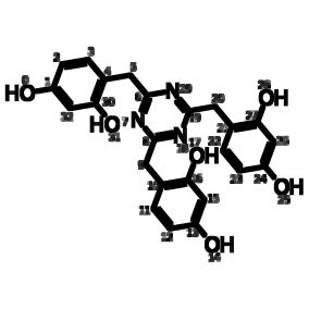 Oc1ccc(Cc2nc(Cc3ccc(O)cc3O)nc(Cc3ccc(O)cc3O)n2)c(O)c1